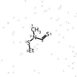 CCSN(C)C=S